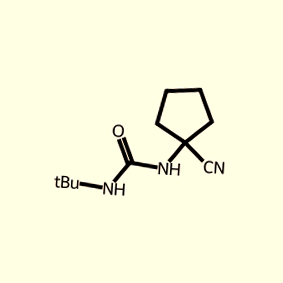 CC(C)(C)NC(=O)NC1(C#N)CCCC1